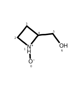 [O-][NH+]1CCC1CO